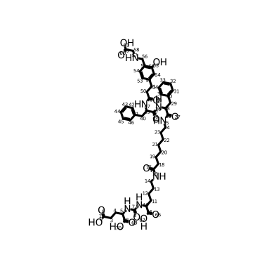 O=C(O)CCC(NC(=O)NC(CCCCNC(=O)CCCCCCCNC(=O)C(Cc1ccccc1)NC(=O)C(Cc1ccccc1)NC(=O)CCc1ccc(CNCC(=O)O)c(O)c1)C(=O)O)C(=O)O